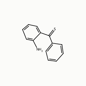 Nc1ccccc1C(=S)c1ccccc1